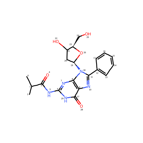 CC(C)C(=O)Nc1nc2c(nc(-c3ccccc3)n2[C@H]2CC(O)[C@@H](CO)O2)c(=O)[nH]1